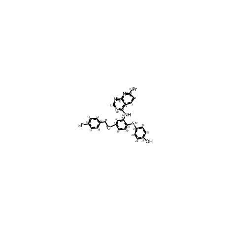 CC(C)c1ccc2c(Nc3cc(OCc4ccc(F)cc4)ccc3Sc3ccc(O)cc3)ncnc2n1